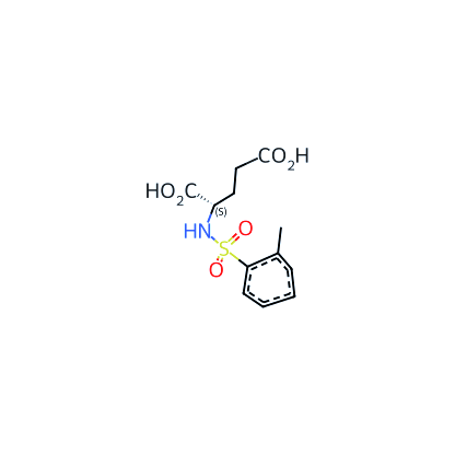 Cc1ccccc1S(=O)(=O)N[C@@H](CCC(=O)O)C(=O)O